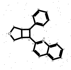 c1ccc(C2C3COCC3C2c2ccc3ccccc3n2)cc1